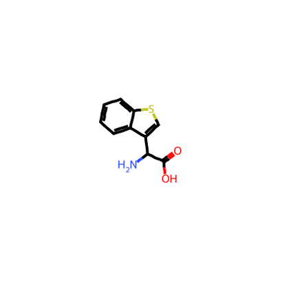 NC(C(=O)O)c1csc2ccccc12